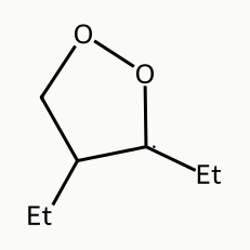 CC[C]1OOCC1CC